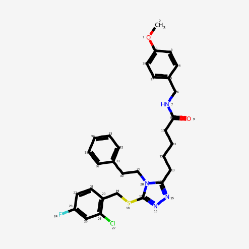 COc1ccc(CNC(=O)CCCCc2nnc(SCc3ccc(F)cc3Cl)n2CCc2ccccc2)cc1